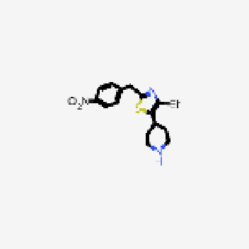 CCc1nc(Cc2ccc([N+](=O)[O-])cc2)sc1C1CCNCC1